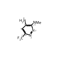 CNc1nnc(C(F)(F)F)cc1N